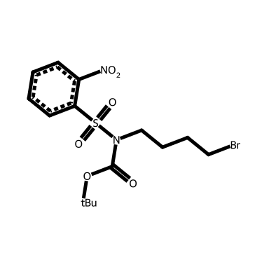 CC(C)(C)OC(=O)N(CCCCBr)S(=O)(=O)c1ccccc1[N+](=O)[O-]